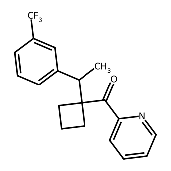 CC(c1cccc(C(F)(F)F)c1)C1(C(=O)c2ccccn2)CCC1